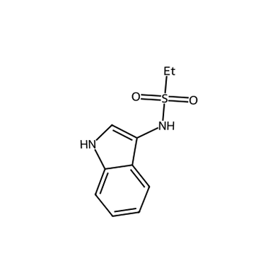 CCS(=O)(=O)Nc1c[nH]c2ccccc12